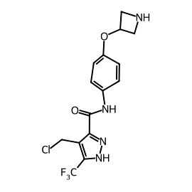 O=C(Nc1ccc(OC2CNC2)cc1)c1n[nH]c(C(F)(F)F)c1CCl